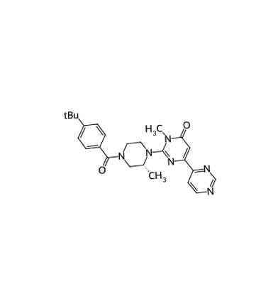 C[C@@H]1CN(C(=O)c2ccc(C(C)(C)C)cc2)CCN1c1nc(-c2ccncn2)cc(=O)n1C